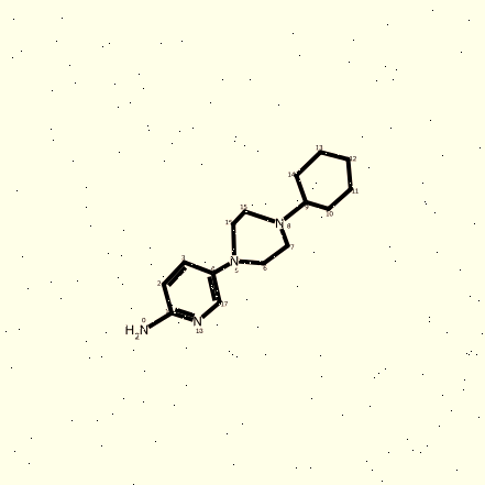 Nc1ccc(N2CCN(C3CCCCC3)CC2)cn1